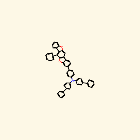 C1=CCC=C(c2c3oc4cc(-c5ccc(N(c6ccc(-c7ccccc7)cc6)c6ccc(-c7ccccc7)cc6)cc5)ccc4c3cc3oc4ccccc4c23)C=C1